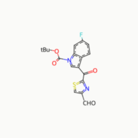 CC(C)(C)OC(=O)n1cc(C(=O)c2nc(C=O)cs2)c2ccc(F)cc21